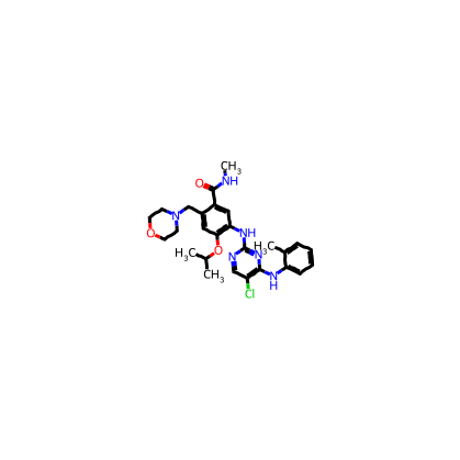 CNC(=O)c1cc(Nc2ncc(Cl)c(Nc3ccccc3C)n2)c(OC(C)C)cc1CN1CCOCC1